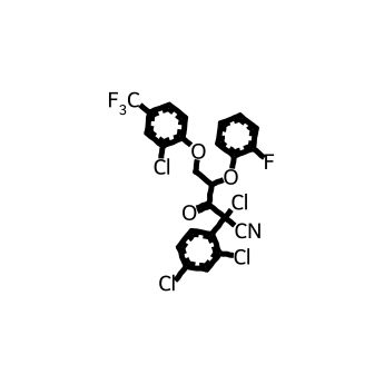 N#CC(Cl)(C(=O)C(COc1ccc(C(F)(F)F)cc1Cl)Oc1ccccc1F)c1ccc(Cl)cc1Cl